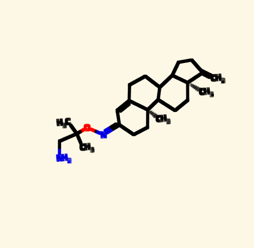 C=C1CCC2C3CCC4=CC(=NOC(C)(C)CN)CC[C@]4(C)C3CC[C@]12C